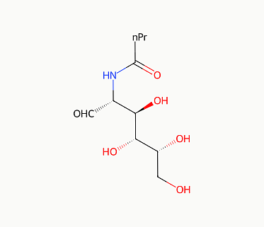 CCCC(=O)N[C@@H](C=O)[C@@H](O)[C@@H](O)[C@H](O)CO